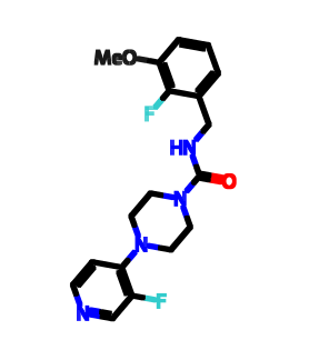 COc1cccc(CNC(=O)N2CCN(c3ccncc3F)CC2)c1F